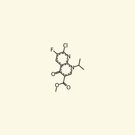 COC(=O)c1cn(C(C)C)c2nc(Cl)c(F)cc2c1=O